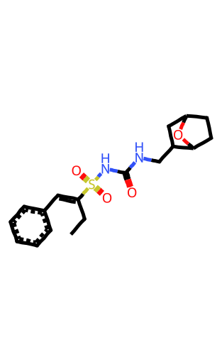 CCC(=Cc1ccccc1)S(=O)(=O)NC(=O)NCC1CC2CCC1O2